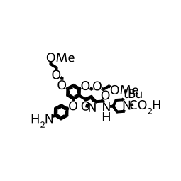 COCCOCOc1cc(OCOCCOC)c(-c2cc(C(=O)NC3CCN(C(=O)O)C(C(C)(C)C)C3)no2)c(Oc2ccc(N)cc2)c1